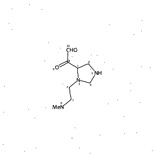 CNCCN1CNCC1C(=O)C=O